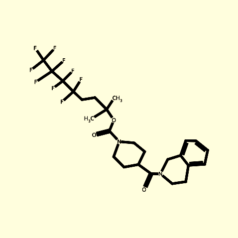 CC(C)(CCC(F)(F)C(F)(F)C(F)(F)C(F)(F)F)OC(=O)N1CCC(C(=O)N2CCc3ccccc3C2)CC1